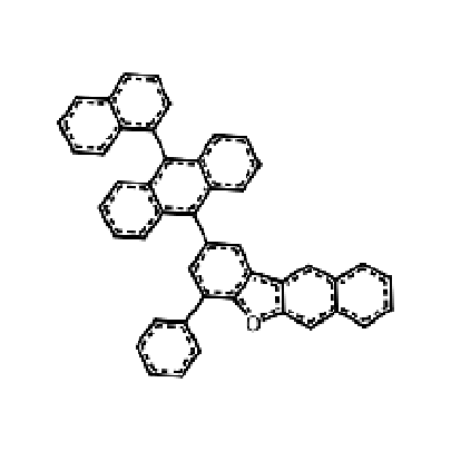 c1ccc(-c2cc(-c3c4ccccc4c(-c4cccc5ccccc45)c4ccccc34)cc3c2oc2cc4ccccc4cc23)cc1